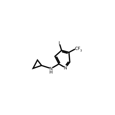 FC(F)(F)c1cnc(NC2CC2)cc1I